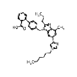 CCCCCCn1cnc(-c2cc(C)c3nc(CCC)n(Cc4ccc(-c5ccccc5C(=O)O)cc4)c3c2)c1